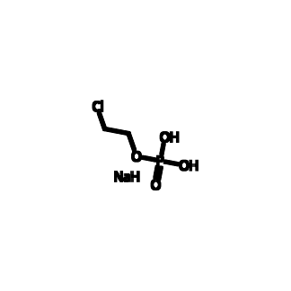 O=P(O)(O)OCCCl.[NaH]